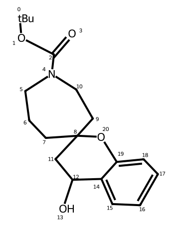 CC(C)(C)OC(=O)N1CCCC2(CC1)CC(O)c1ccccc1O2